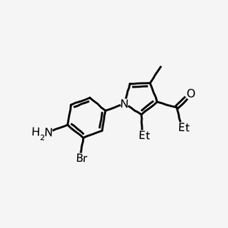 CCC(=O)c1c(C)cn(-c2ccc(N)c(Br)c2)c1CC